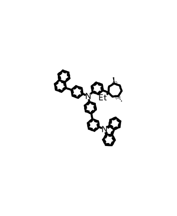 CCC1(c2cccc(N(c3ccc(-c4cccc(-n5c6ccccc6c6ccccc65)c4)cc3)c3ccc(-c4cccc5ccccc45)cc3)c2)C[C@@H](C)CC[C@H](C)C1